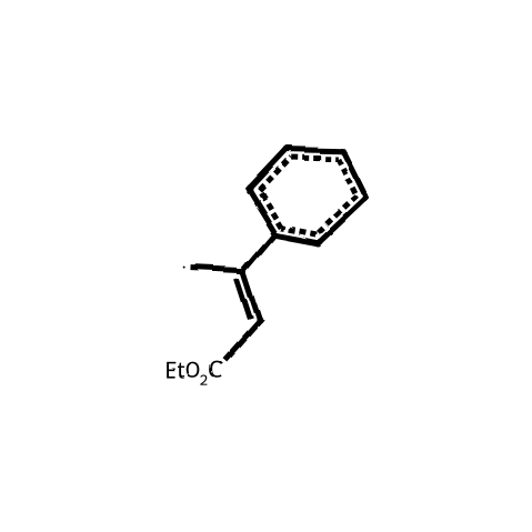 [CH2]C(=CC(=O)OCC)c1ccccc1